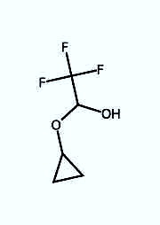 OC(OC1CC1)C(F)(F)F